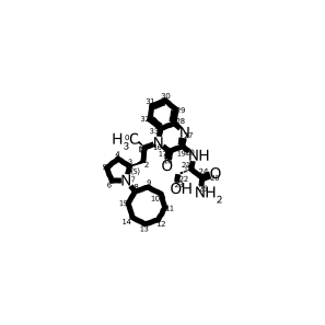 C[C@@H](C[C@@H]1CCCN1C1CCCCCCC1)n1c(=O)c(N[C@@H](CO)C(N)=O)nc2ccccc21